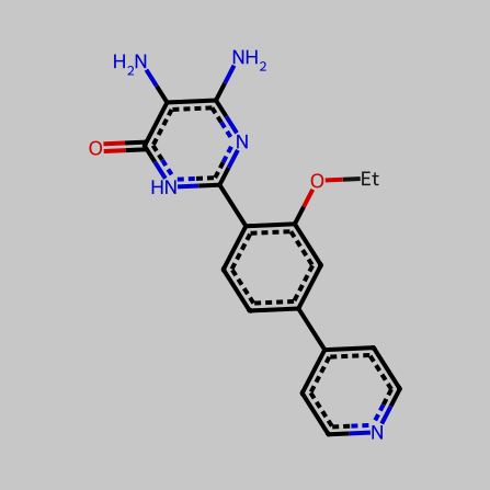 CCOc1cc(-c2ccncc2)ccc1-c1nc(N)c(N)c(=O)[nH]1